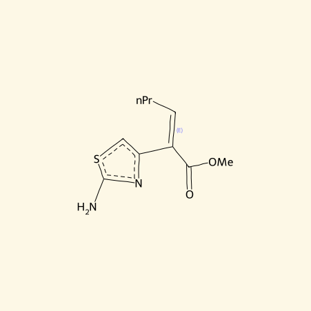 CCC/C=C(/C(=O)OC)c1csc(N)n1